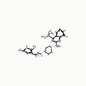 CN(C)c1nc(N[C@H]2CC[C@@H](CNCc3cc(Cl)sc3Cl)CC2)nc2ccccc12